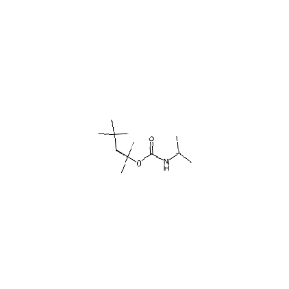 CC(C)NC(=O)OC(C)(C)CC(C)(C)C